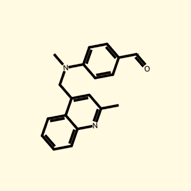 Cc1cc(CN(C)c2ccc([C]=O)cc2)c2ccccc2n1